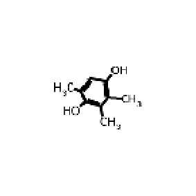 Cc1[c]c(O)c(C)c(C)c1O